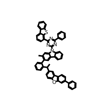 Cc1cc2c(cc1-c1ccccc1C(C)c1ccc3oc4cc(-c5ccccc5)ccc4c3c1)c1ccccc1n2-c1nc(-c2ccccc2)nc(-c2cccc3c2sc2ccccc23)n1